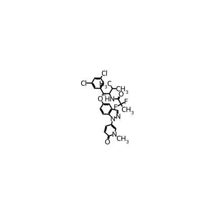 CC(C)C(NC(=O)C(C)(F)F)[C@H](Oc1ccc2c(cnn2-c2ccc(=O)n(C)c2)c1)c1cc(Cl)cc(Cl)c1